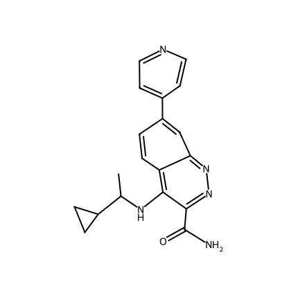 CC(Nc1c(C(N)=O)nnc2cc(-c3ccncc3)ccc12)C1CC1